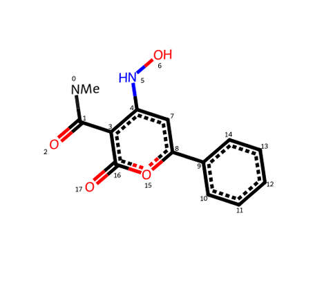 CNC(=O)c1c(NO)cc(-c2ccccc2)oc1=O